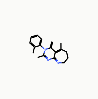 C=C1C2=C(C)CCCN=C2N=C(C)N1c1ccccc1C